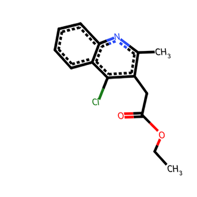 CCOC(=O)Cc1c(C)nc2ccccc2c1Cl